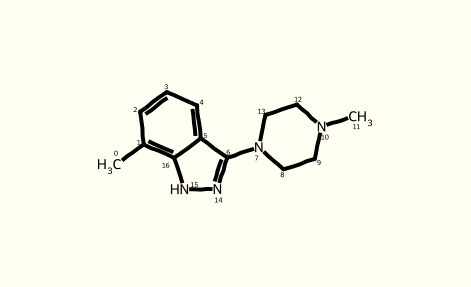 Cc1cccc2c(N3CCN(C)CC3)n[nH]c12